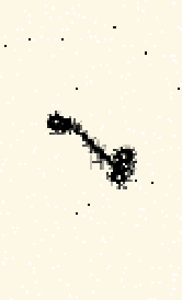 c1ccc2cn(CCCCCCCCCNc3c4ccccc4nc4ccccc34)cc2c1